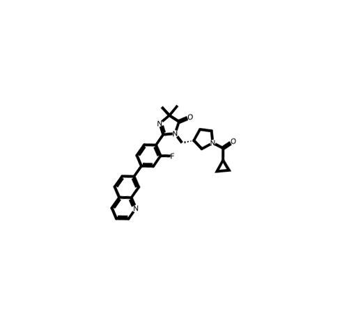 CC1(C)N=C(c2ccc(-c3ccc4cccnc4c3)cc2F)N(C[C@@H]2CCN(C(=O)C3CC3)C2)C1=O